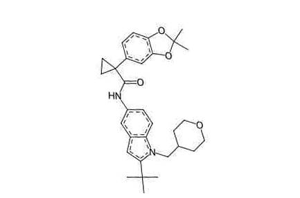 CC1(C)Oc2ccc(C3(C(=O)Nc4ccc5c(c4)cc(C(C)(C)C)n5CC4CCOCC4)CC3)cc2O1